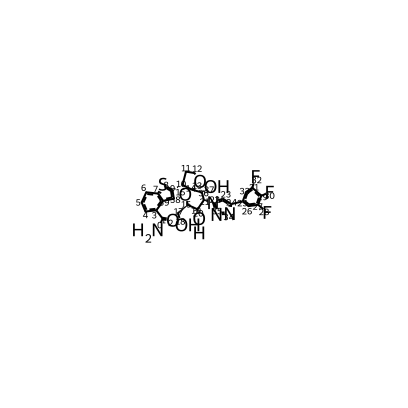 NC(=O)c1cccc2sc([C@@H]3CCO[C@]34O[C@H](CO)[C@H](O)[C@H](n3cc(-c5cc(F)c(F)c(F)c5)nn3)[C@H]4O)cc12